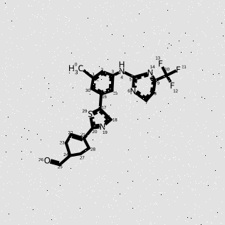 Cc1cc(Nc2nccc(C(F)(F)F)n2)cc(-c2cnc(C3=CCC(C=O)CC3)s2)c1